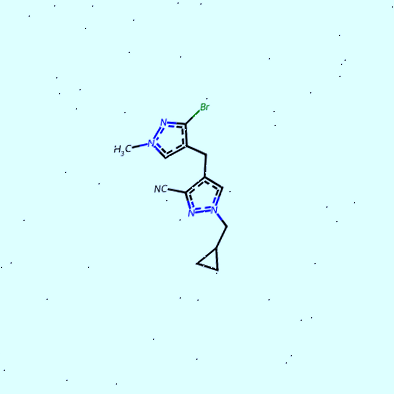 Cn1cc(Cc2cn(CC3CC3)nc2C#N)c(Br)n1